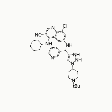 CC(C)(C)N1CCC(N2C=C([C@@H](Nc3cc(Cl)c4ncc(C#N)c(NC5CCCCC5)c4c3)c3cccnc3)NN2)CC1